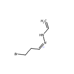 C=CN/N=C\CCBr